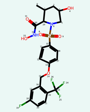 CC1CC(O)CN(S(=O)(=O)c2ccc(OCc3cc(F)ccc3C(F)(F)F)cc2)C1C(=O)NO